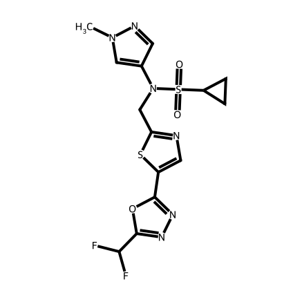 Cn1cc(N(Cc2ncc(-c3nnc(C(F)F)o3)s2)S(=O)(=O)C2CC2)cn1